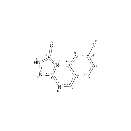 O=c1[nH]nc2ncc3ccc(Cl)cc3n12